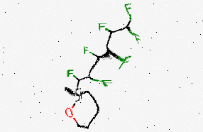 C[Si]1(C(F)C(F)C(F)C(F)C(F)C(F)F)CCCCO1